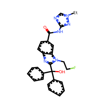 CCn1cnc(NC(=O)c2ccc3nc(C(O)(c4ccccc4)c4ccccc4)n(CCF)c3c2)n1